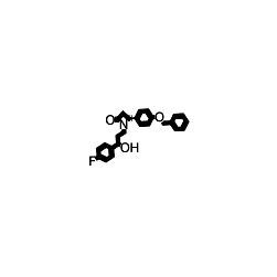 O=C1C[C@@H](c2ccc(OCc3ccccc3)cc2)N1CCC(O)c1ccc(F)cc1